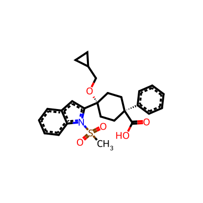 CS(=O)(=O)n1c2ccccc2cc1[C@]1(OCC2CC2)CC[C@@](C(=O)O)(c2ccccc2)CC1